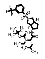 CCN(C(=O)OC(C)(C)C)[C@@H](CC(C)C)C(=O)N[C@H]1CC[C@@H]2CN(S(=O)(=O)c3cccc(C(F)(F)F)c3)C[C@@H]21